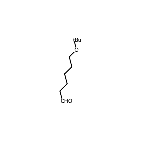 CC(C)(C)OCCCCC[C]=O